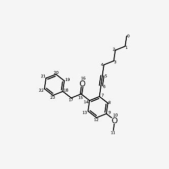 CCCCCC#Cc1cc(OC)ccc1C(=O)Cc1ccccc1